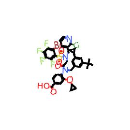 CC(C)(C)c1cc(CN(C(=O)CN(Cc2cccnc2Cl)S(=O)(=O)c2c(F)c(F)c(F)c(F)c2Br)c2ccc(C(=O)O)cc2OC2CC2)cc(C2CC2)c1